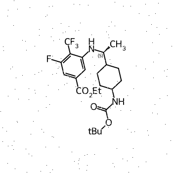 CCOC(=O)c1cc(F)c(C(F)(F)F)c(N[C@@H](C)C2CCC(NC(=O)OC(C)(C)C)CC2)c1